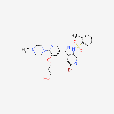 Cc1ccccc1S(=O)(=O)n1nc(-c2cnc(N3CCN(C)CC3)c(OCCCO)c2)c2cc(Br)ncc21